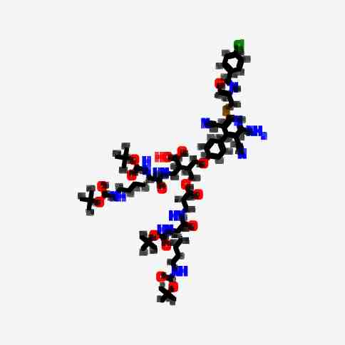 CC(C)(C)OC(=O)NCCCC[C@H](NC(=O)OC(C)(C)C)C(=O)NCCC(=O)OC[C@H](COc1ccc(-c2c(C#N)c(N)nc(SCc3coc(-c4ccc(Cl)cc4)n3)c2C#N)cc1)C(CNC(=O)[C@H](CCCCNC(=O)OC(C)(C)C)NC(=O)OC(C)(C)C)C(=O)O